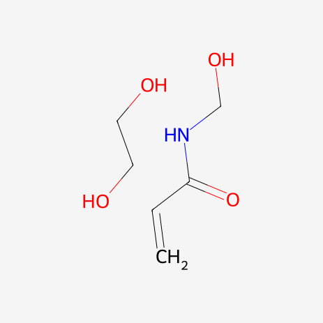 C=CC(=O)NCO.OCCO